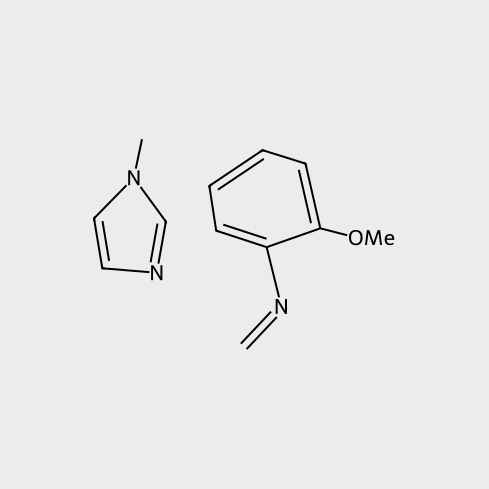 C=Nc1ccccc1OC.Cn1ccnc1